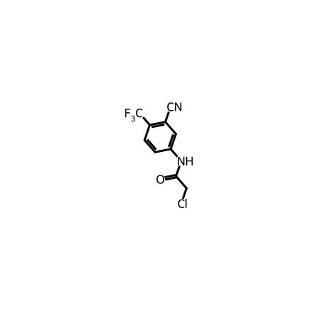 N#Cc1cc(NC(=O)CCl)ccc1C(F)(F)F